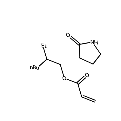 C=CC(=O)OCC(CC)CCCC.O=C1CCCN1